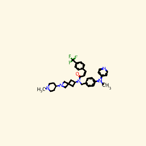 CN1CCC(N2CC3(CC(N(Cc4ccc(N(C)c5ccncc5)cc4)C(=O)C=Cc4ccc(C(F)(F)F)cc4)C3)C2)CC1